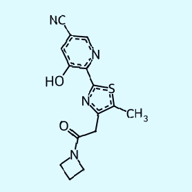 Cc1sc(-c2ncc(C#N)cc2O)nc1CC(=O)N1CCC1